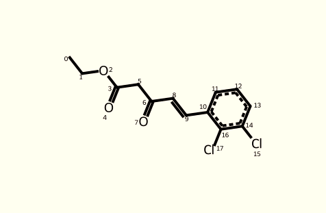 CCOC(=O)CC(=O)C=Cc1cccc(Cl)c1Cl